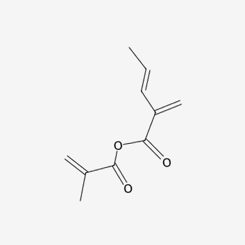 C=C(C)C(=O)OC(=O)C(=C)C=CC